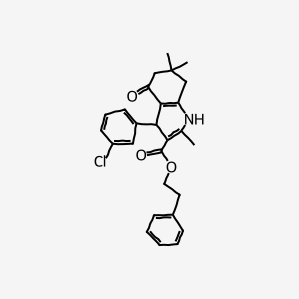 CC1=C(C(=O)OCCc2ccccc2)C(c2cccc(Cl)c2)C2=C(CC(C)(C)CC2=O)N1